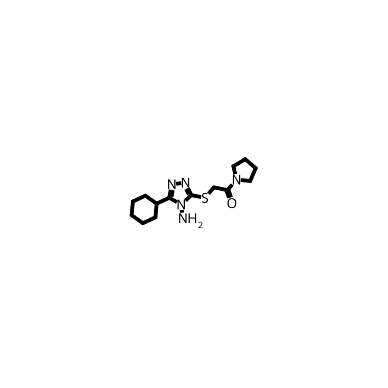 Nn1c(SCC(=O)N2CCCC2)nnc1C1CCCCC1